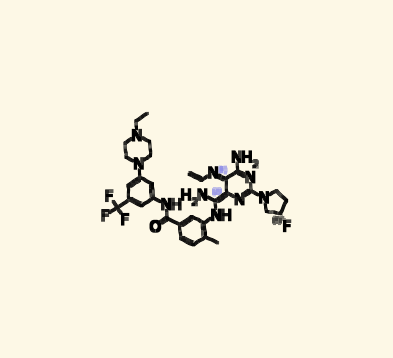 C=C/N=C1/C(N)=NC(N2CC[C@H](F)C2)=N/C1=C(/N)Nc1cc(C(=O)Nc2cc(N3CCN(CC)CC3)cc(C(F)(F)F)c2)ccc1C